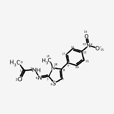 CC(=O)NN=c1scc(-c2ccc([N+](=O)[O-])cc2)n1C